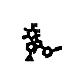 CN1C(=N)NC(C)(c2cc(-c3cncc(C#N)c3)c(F)s2)C(c2ccc(C3CC3)cc2)C1=O